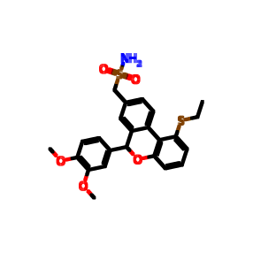 CCSc1cccc2c1-c1ccc(CS(N)(=O)=O)cc1C(c1ccc(OC)c(OC)c1)O2